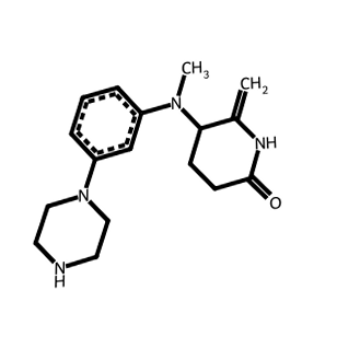 C=C1NC(=O)CCC1N(C)c1cccc(N2CCNCC2)c1